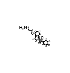 NCCCOc1cccc2c1ccn2S(=O)(=O)c1ccccc1